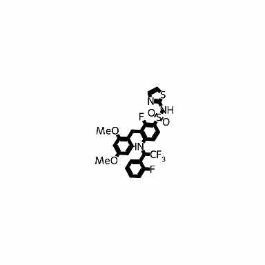 COc1ccc(Cc2c(NC(c3ccccc3F)C(F)(F)F)ccc(S(=O)(=O)Nc3nccs3)c2F)c(OC)c1